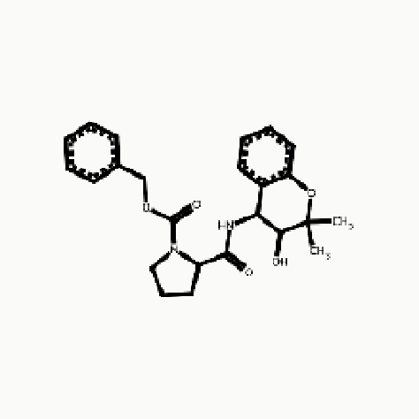 CC1(C)Oc2ccccc2C(NC(=O)C2CCCN2C(=O)OCc2ccccc2)C1O